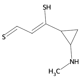 CNC1CC1/C(S)=C/C=S